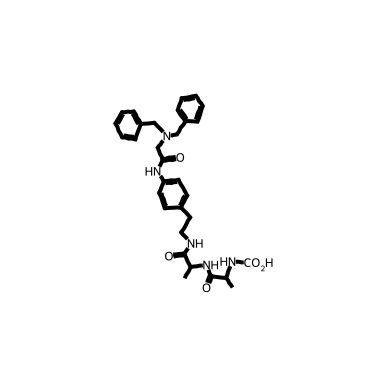 CC(NC(=O)O)C(=O)NC(C)C(=O)NCCc1ccc(NC(=O)CN(Cc2ccccc2)Cc2ccccc2)cc1